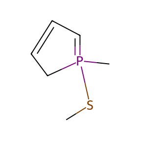 CSP1(C)=CC=CC1